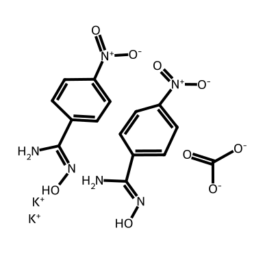 NC(=NO)c1ccc([N+](=O)[O-])cc1.NC(=NO)c1ccc([N+](=O)[O-])cc1.O=C([O-])[O-].[K+].[K+]